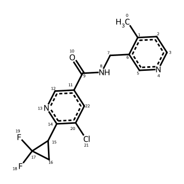 Cc1ccncc1CNC(=O)c1cnc(C2CC2(F)F)c(Cl)c1